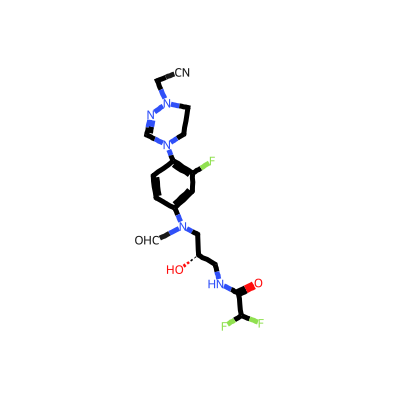 N#CCN1CCN(c2ccc(N(C=O)C[C@@H](O)CNC(=O)C(F)F)cc2F)C=N1